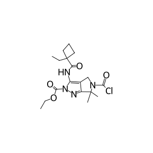 CCOC(=O)n1nc2c(c1NC(=O)C1(CC)CCC1)CN(C(=O)Cl)C2(C)C